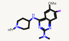 CCCN1CCC(Nc2nc(N(C)C)nc3cc(I)c(OC)cc23)CC1